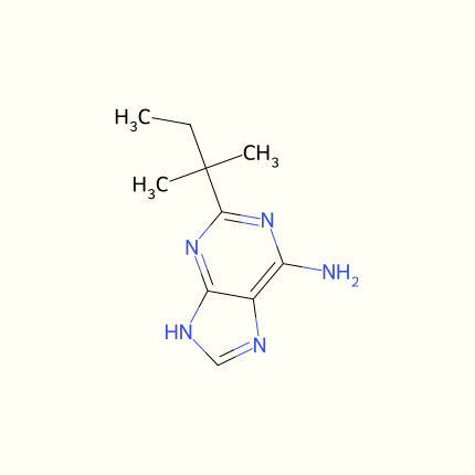 CCC(C)(C)c1nc(N)c2nc[nH]c2n1